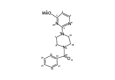 COc1ccnc(N2CCN(C(=O)c3ccccc3)CC2)n1